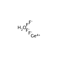 O.[F-].[F-].[F-].[F-].[Ge+4]